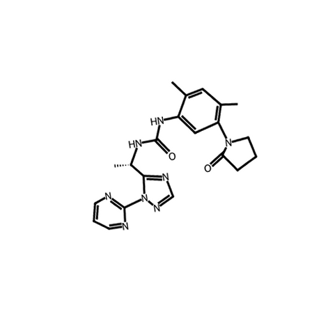 Cc1cc(C)c(N2CCCC2=O)cc1NC(=O)N[C@@H](C)c1ncnn1-c1ncccn1